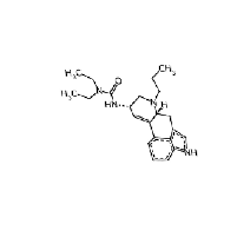 CCCN1C[C@@H](NC(=O)N(CC)CC)C=C2c3cccc4[nH]cc(c34)C[C@H]21